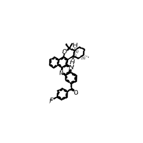 C[C@H]1CC[C@H]2[C@H](C1)c1c(c3ccccc3c3nc4cc(C(=O)c5ccc(F)cc5)ccc4nc13)OC2(C)C